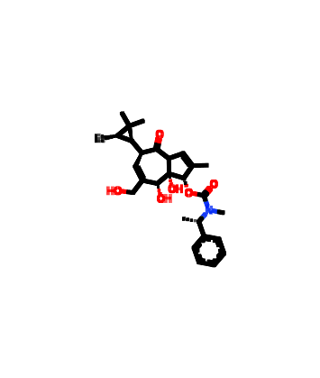 CC[C@@H]1[C@H]([C@@H]2C=C(CO)[C@@H](O)[C@@]3(O)C(C=C(C)[C@@H]3OC(=O)N(C)[C@@H](C)c3ccccc3)C2=O)C1(C)C